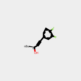 CCCC[C@H](O)C#Cc1ccc(F)c(F)c1